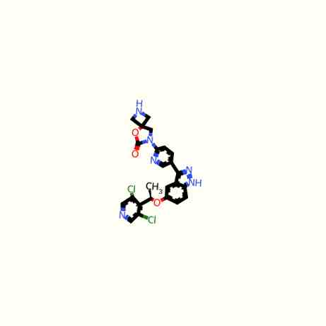 C[C@@H](Oc1ccc2[nH]nc(-c3ccc(N4CC5(CNC5)OC4=O)nc3)c2c1)c1c(Cl)cncc1Cl